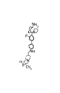 CC(C)(F)CN1CCC(CNc2ccc(-c3ccc(C(=O)N4CCC[C@H]4C(N)=O)c(F)c3)cc2)CC1